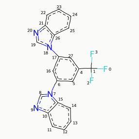 FC(F)(F)c1cc(-n2cnc3ccccc32)cc(-n2cnc3ccccc32)c1